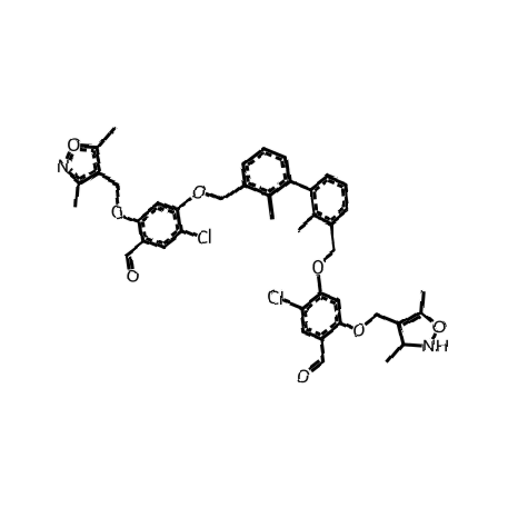 CC1=C(COc2cc(OCc3cccc(-c4cccc(COc5cc(OCc6c(C)noc6C)c(C=O)cc5Cl)c4C)c3C)c(Cl)cc2C=O)C(C)NO1